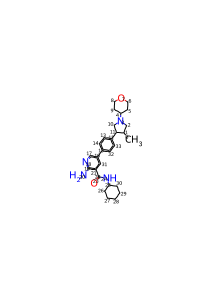 CC1CN(C2CCOCC2)CC1c1ccc(-c2cnc(N)c(C(=O)NC3CCCCC3)c2)cc1